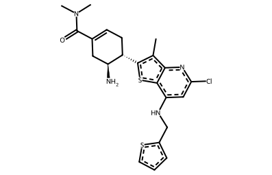 Cc1c([C@H]2CC=C(C(=O)N(C)C)C[C@@H]2N)sc2c(NCc3cccs3)cc(Cl)nc12